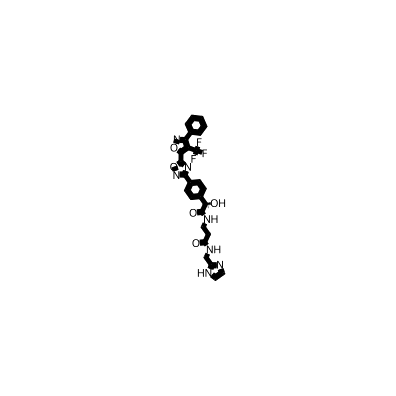 O=C(CCNC(=O)[C@H](O)c1ccc(-c2noc(-c3onc(-c4ccccc4)c3C(F)(F)F)n2)cc1)NCc1ncc[nH]1